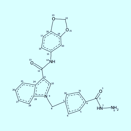 NNC(=O)c1ccc(Cn2cc(C(=O)Nc3ccc4c(c3)OCO4)c3ccccc32)cc1